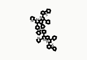 c1ccc(-c2cc(-c3cccc4c3sc3ccccc34)nc3c2ccc2c(-c4cccc([Si](c5ccccc5)(c5ccccc5)c5cccc(-c6cc(-c7ccccn7)nc7c6ccc6c(-c8ccccc8)cc(-c8cccc9c8sc8ccccc89)nc67)c5)c4)cc(-c4ccccn4)nc23)cc1